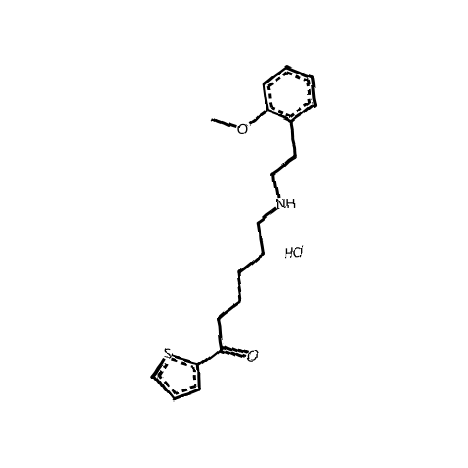 COc1ccccc1CCNCCCCCC(=O)c1cccs1.Cl